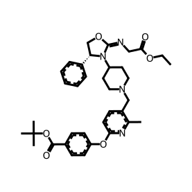 CCOC(=O)C/N=C1/OC[C@@H](c2ccccc2)N1C1CCN(Cc2ccc(Oc3ccc(C(=O)OC(C)(C)C)cc3)nc2C)CC1